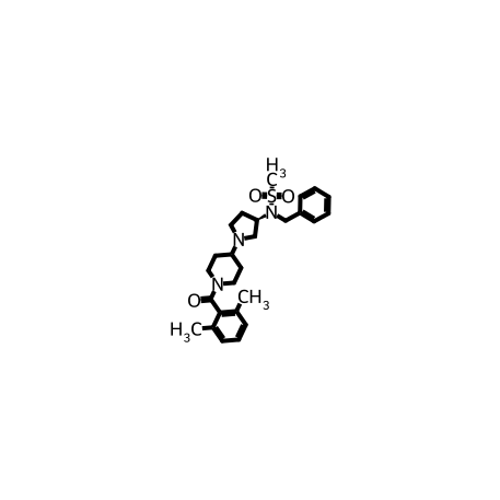 Cc1cccc(C)c1C(=O)N1CCC(N2CC[C@@H](N(Cc3ccccc3)S(C)(=O)=O)C2)CC1